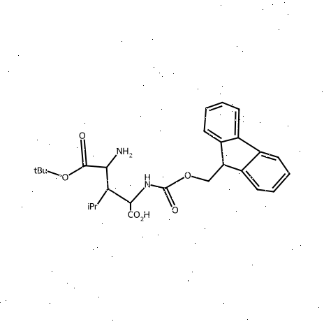 CC(C)C(C(N)C(=O)OC(C)(C)C)C(NC(=O)OCC1c2ccccc2-c2ccccc21)C(=O)O